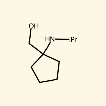 CC(C)NC1(CO)CCCC1